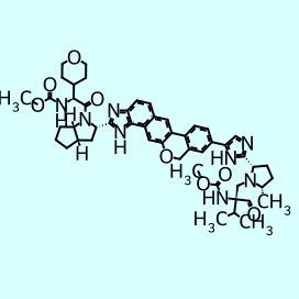 COC(=O)N[C@H](C(=O)N1[C@H](c2nc3ccc4cc5c(cc4c3[nH]2)OCc2cc(-c3cnc([C@@H]4CC[C@H](C)N4C[C@](C=O)(NC(=O)OC)C(C)C)[nH]3)ccc2-5)C[C@@H]2CCC[C@@H]21)C1CCOCC1